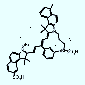 CCCCc1cccc(C(=C\C=C2\N(CCCCS(=O)(=O)O)c3ccc4c(C)cccc4c3C2(C)C)/C=C/C2N(CCCC)c3ccc4ccc(S(=O)(=O)O)cc4c3C2(C)C)c1